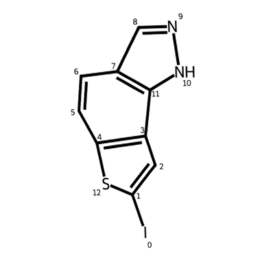 Ic1cc2c(ccc3cn[nH]c32)s1